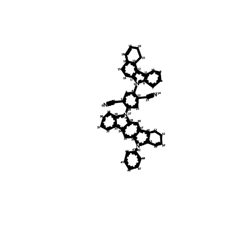 N#Cc1cc(-n2c3ccccc3c3c4c(ccc32)C=CCC4)c(C#N)cc1-n1c2ccccc2c2cc3c(cc21)c1c(n3-c2ccccc2)C=CCC1